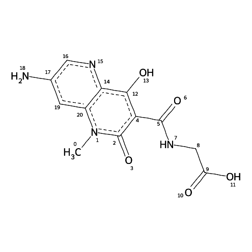 Cn1c(=O)c(C(=O)NCC(=O)O)c(O)c2ncc(N)cc21